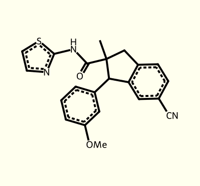 COc1cccc(C2c3cc(C#N)ccc3CC2(C)C(=O)Nc2nccs2)c1